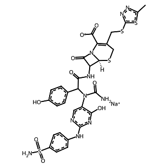 Cc1nnc(SCC2=C(C(=O)[O-])N3C(=O)C(NC(=O)C(c4ccc(O)cc4)N(C(N)=O)c4cnc(Nc5ccc(S(N)(=O)=O)cc5)nc4O)[C@@H]3SC2)s1.[Na+]